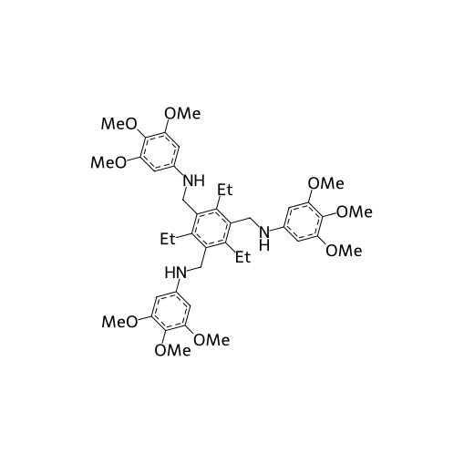 CCc1c(CNc2cc(OC)c(OC)c(OC)c2)c(CC)c(CNc2cc(OC)c(OC)c(OC)c2)c(CC)c1CNc1cc(OC)c(OC)c(OC)c1